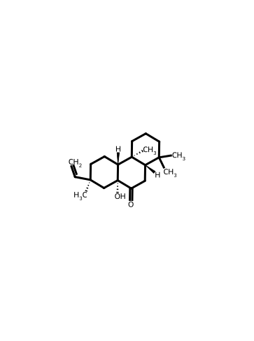 C=C[C@@]1(C)CC[C@@H]2[C@@]3(C)CCCC(C)(C)[C@@H]3CC(=O)[C@@]2(O)C1